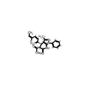 C=C(/C=C\C(F)=C/C)[C@H]1c2c(C)nn(-c3ccccc3)c2NC(=O)[C@H]1C(=O)OC